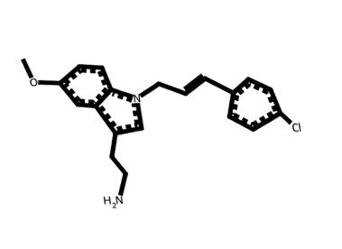 COc1ccc2c(c1)c(CCN)cn2CC=Cc1ccc(Cl)cc1